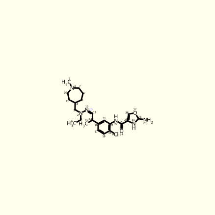 CCN(CC1CCCN(C)CC1)/N=C\C(C)c1ccc(Cl)c(NC(=O)C2=COC(N)N2)c1